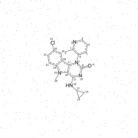 Cc1ncccc1-n1c(=O)nc(NC2CC2)c2c1c1cc(Cl)ccc1n2C